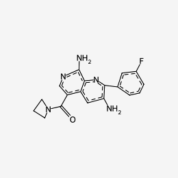 Nc1cc2c(C(=O)N3CCC3)cnc(N)c2nc1-c1cccc(F)c1